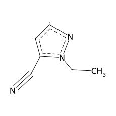 CCn1n[c]cc1C#N